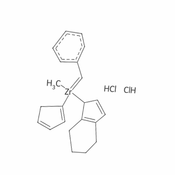 Cl.Cl.[CH3][Zr](=[CH]c1ccccc1)([C]1=CC=CC1)[CH]1C=CC2=C1CCCC2